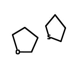 C1CCOC1.C1CCSC1